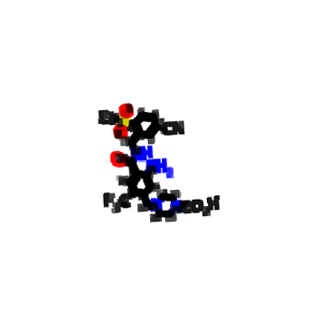 CCS(=O)(=O)c1ccc(C#N)cc1CNC(=O)c1cc(C(F)(F)F)c(CN2CCN(C(=O)O)CC2)cc1N